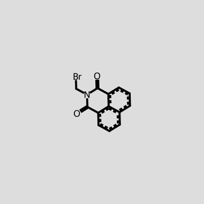 O=C1c2cccc3cccc(c23)C(=O)N1CBr